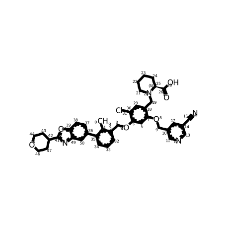 Cc1c(COc2cc(OCc3cncc(C#N)c3)c(CN3CCCC[C@H]3C(=O)O)cc2Cl)cccc1-c1ccc2oc(C3CCOCC3)nc2c1